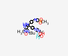 CC(=O)N1CCN(c2ccc(-c3c(-c4ccc(CN5CCC(S(C)(=O)=O)CC5)cc4)[nH]c4ncc5c(c34)CN(C(C)(C)C)C(=O)N5C)cc2)CC1.O=C(O)C(F)(F)F